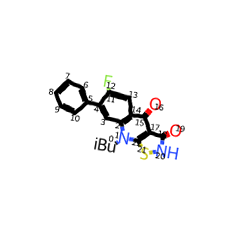 CCC(C)n1c2cc(-c3ccccc3)c(F)cc2c(=O)c2c(=O)[nH]sc21